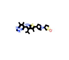 Cc1c(-c2[nH]c3sc(C4CC5CC4CN5C4CC[S+]([O-])C4)c(C)c3c2C(C)C)cn2ncnc2c1C